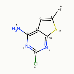 CCc1cc2c(N)nc(Cl)nc2s1